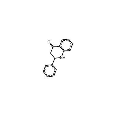 O=C1CC(c2ccccc2)Nc2ccccc21